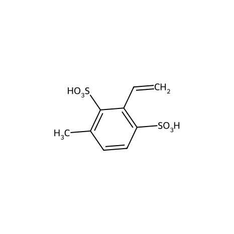 C=Cc1c(S(=O)(=O)O)ccc(C)c1S(=O)(=O)O